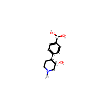 CCN1CC[C@@H](c2ccc(B(O)O)cc2)[C@H](O)C1